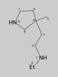 CCNCCC1(C)CCNC1